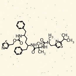 CC(C)c1nc(CN(C)C(=O)NC(C)(C)C(=O)NC(CCC(Cc2ccccc2)NC(=O)OCc2cncs2)Cc2ccccc2)cs1